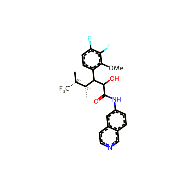 COc1c(C(C(O)C(=O)Nc2ccc3cnccc3c2)[C@H](C)[C@@H](C)C(F)(F)F)ccc(F)c1F